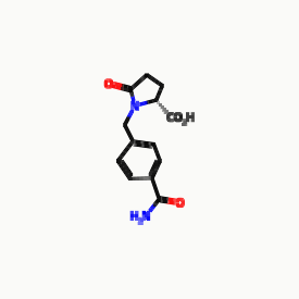 NC(=O)c1ccc(CN2C(=O)CC[C@@H]2C(=O)O)cc1